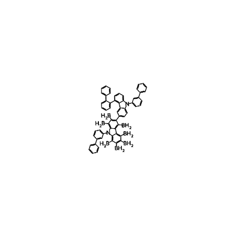 Bc1c(B)c(B)c2c(c1B)c1c(B)c(-c3ccc4c(c3)c3c(-c5ccccc5-c5ccccc5)cccc3n4-c3cccc(-c4ccccc4)c3)c(B)c(B)c1n2-c1cccc(-c2ccccc2)c1